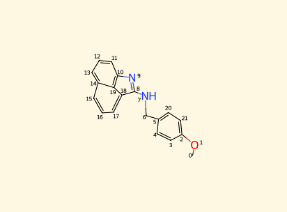 COc1ccc(CNC2=Nc3cccc4cccc2c34)cc1